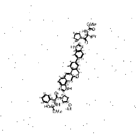 CCO[C@H]1C[C@@H](c2nc3ccc4cc5c(cc4c3[nH]2)OCc2cc(-c3ccc4nc([C@@H]6CCCN6C(=O)[C@@H](NC(=O)OC)C(C)C)[nH]c4c3)ccc2-5)N(C(=O)[C@H](NC(O)OC)c2ccccc2)C1